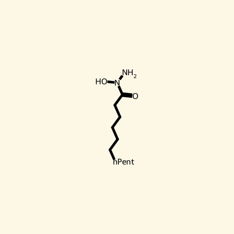 CCCCCCCCCCC(=O)N(N)O